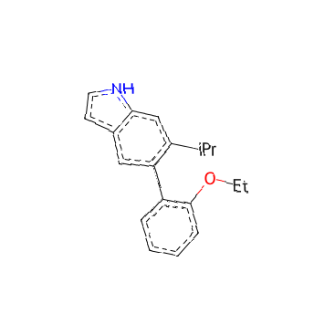 CCOc1ccccc1-c1cc2cc[nH]c2cc1C(C)C